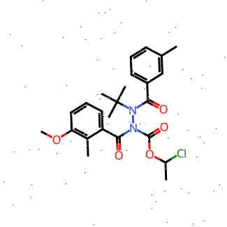 COc1cccc(C(=O)N(C(=O)OC(C)Cl)N(C(=O)c2cccc(C)c2)C(C)(C)C)c1C